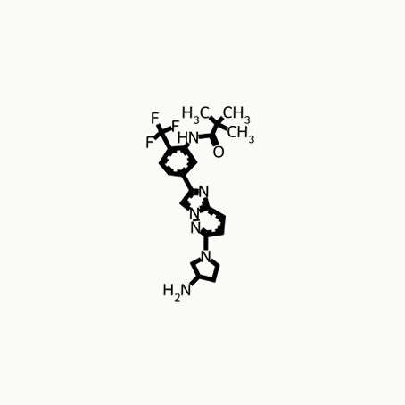 CC(C)(C)C(=O)Nc1cc(-c2cn3nc(N4CCC(N)C4)ccc3n2)ccc1C(F)(F)F